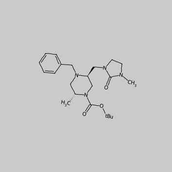 C[C@@H]1CN(Cc2ccccc2)[C@@H](CN2CCN(C)C2=O)CN1C(=O)OC(C)(C)C